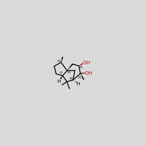 C[C@@H]1CC[C@H]2C(C)(C)[C@H]3C[C@@]12C[C@@H](O)[C@]3(C)O